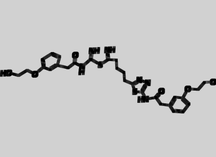 N=C(CCCCc1nnc(NC(=O)Cc2cccc(OCCO)c2)s1)SC(=N)NC(=O)Cc1cccc(OCCO)c1